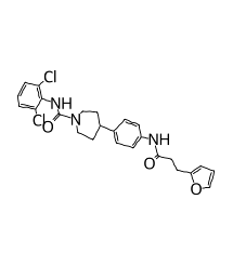 O=C(CCc1ccco1)Nc1ccc(C2CCN(C(=O)Nc3c(Cl)cccc3Cl)CC2)cc1